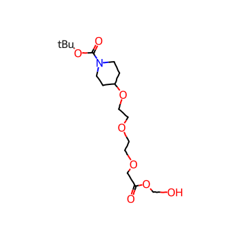 CC(C)(C)OC(=O)N1CCC(OCCOCCOCC(=O)OCO)CC1